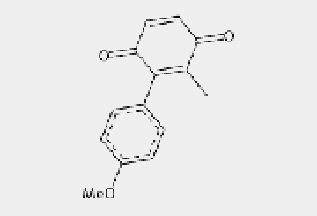 COc1ccc(C2=C(C)C(=O)C=CC2=O)cc1